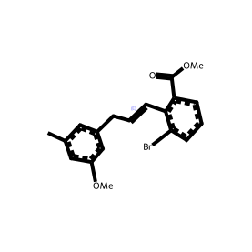 COC(=O)c1cccc(Br)c1/C=C/Cc1cc(C)cc(OC)c1